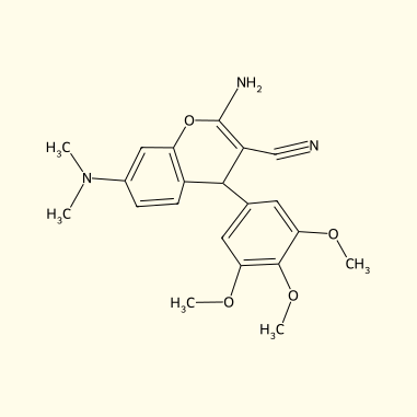 COc1cc(C2C(C#N)=C(N)Oc3cc(N(C)C)ccc32)cc(OC)c1OC